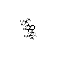 CC(C)(C)OC(=O)C1CCCC(C(=O)OC(C)(C)C)C1C(=O)O